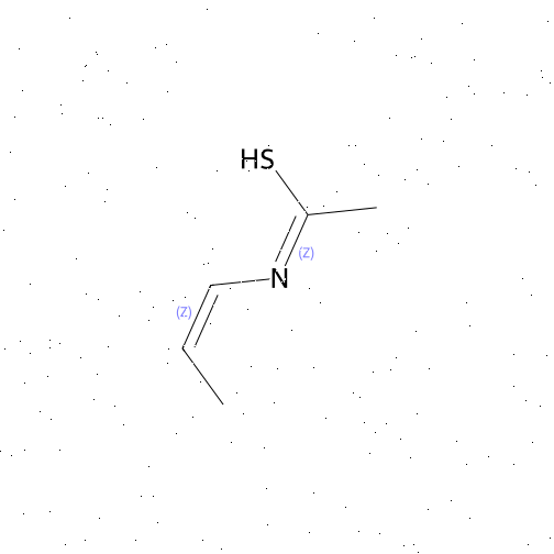 C/C=C\N=C(\C)S